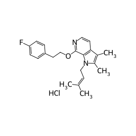 CC(C)=CCn1c(C)c(C)c2ccnc(OCCc3ccc(F)cc3)c21.Cl